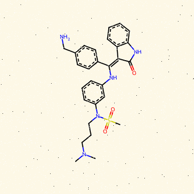 CN(C)CCCN(c1cccc(N/C(=C2\C(=O)Nc3ccccc32)c2ccc(CN)cc2)c1)S(C)(=O)=O